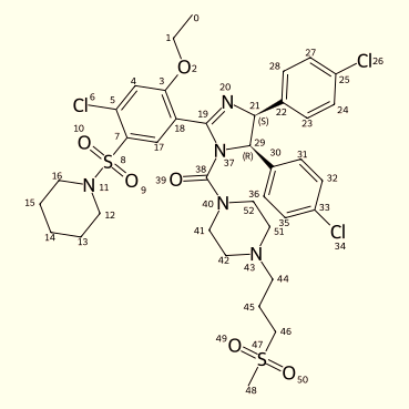 CCOc1cc(Cl)c(S(=O)(=O)N2CCCCC2)cc1C1=N[C@@H](c2ccc(Cl)cc2)[C@@H](c2ccc(Cl)cc2)N1C(=O)N1CCN(CCCS(C)(=O)=O)CC1